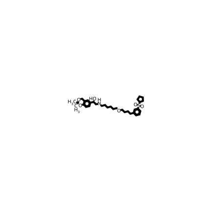 CC1(C)OCc2cc([C@@H](O)CNCCCCCCOCCCCc3cccc(S(=O)(=O)C4CCCC4)c3)ccc2O1